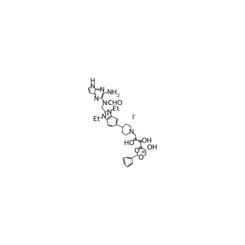 CCn1c(CN(C=O)c2nc3cc[nH]c3nc2N)[n+](CC)c2ccc(C3CCN(C[C@H](O)[C@@H](O)[C@@H]4OC(c5ccccc5)OC[C@H]4O)CC3)cc21.[I-]